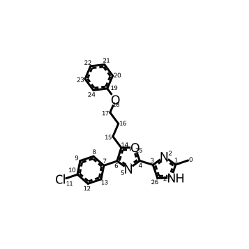 Cc1nc(-c2nc(-c3ccc(Cl)cc3)c(CCCOc3ccccc3)o2)c[nH]1